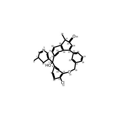 CC1C=NC=C(C2(O)c3ccc(Cl)c(c3)OCc3cccc(c3)C3=CC(=O)C(C)c4ccc2cc43)C1